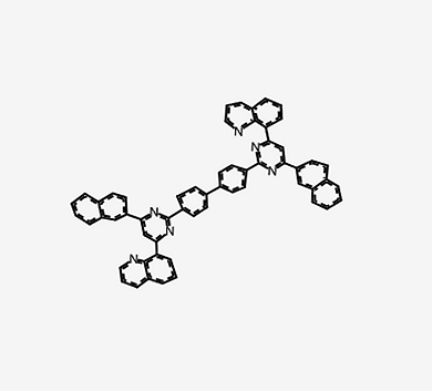 c1ccc2cc(-c3cc(-c4cccc5cccnc45)nc(-c4ccc(-c5ccc(-c6nc(-c7ccc8ccccc8c7)cc(-c7cccc8cccnc78)n6)cc5)cc4)n3)ccc2c1